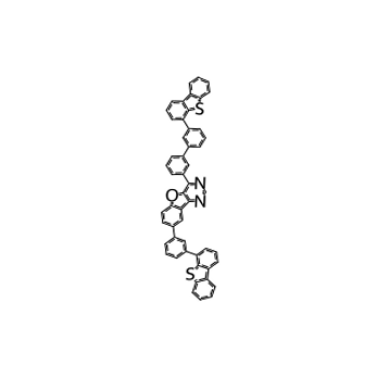 c1cc(-c2cccc(-c3cccc4c3sc3ccccc34)c2)cc(-c2ncnc3c2oc2ccc(-c4cccc(-c5cccc6c5sc5ccccc56)c4)cc23)c1